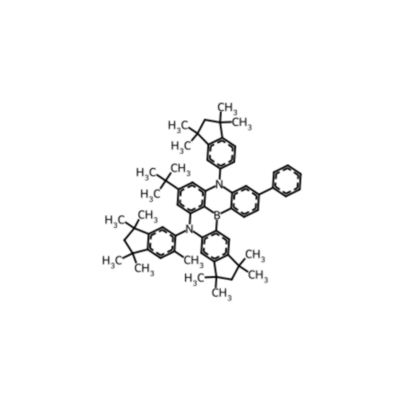 Cc1cc2c(cc1N1c3cc4c(cc3B3c5ccc(-c6ccccc6)cc5N(c5ccc6c(c5)C(C)(C)CC6(C)C)c5cc(C(C)(C)C)cc1c53)C(C)(C)CC4(C)C)C(C)(C)CC2(C)C